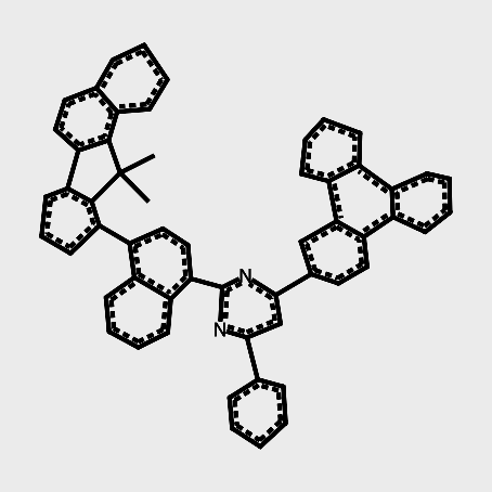 CC1(C)c2c(cccc2-c2ccc(-c3nc(-c4ccccc4)cc(-c4ccc5c6ccccc6c6ccccc6c5c4)n3)c3ccccc23)-c2ccc3ccccc3c21